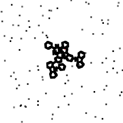 c1ccc(-c2nc(-c3ccccc3)nc(-c3cc(-c4cccc5c6ccccc6n(-c6ccccc6)c45)ccc3-n3c4ccccc4c4cc(-n5c6ccccc6c6ccccc65)ccc43)n2)cc1